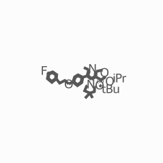 Cc1nc(C)c([C@H](OC(C)(C)C)C(=O)OC(C)C)c(N2CCC(C)(C)CC2)c1-c1ccc(OCCc2ccc(F)cc2)cc1